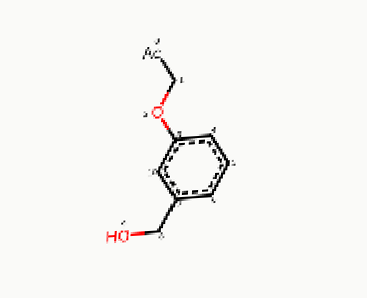 CC(=O)COc1cccc(CO)c1